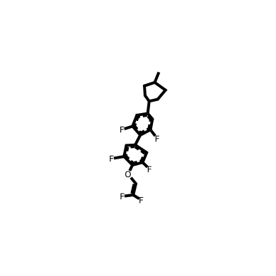 CC1CCC(c2cc(F)c(-c3cc(F)c(OC=C(F)F)c(F)c3)c(F)c2)CC1